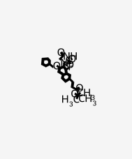 CC(C)(C)OC(=O)/C=C/c1ccc2cc(OCc3ccccc3)c(N3CC(=O)NS3(=O)=O)c(F)c2c1